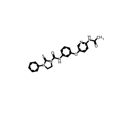 CC(=O)Nc1ccc(Oc2cccc(NC(=O)N3CCN(c4ccccc4)C3=S)c2)cn1